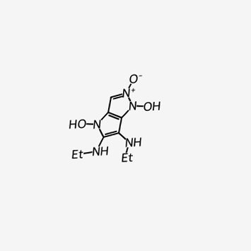 CCNc1c(NCC)n(O)c2c[n+]([O-])n(O)c12